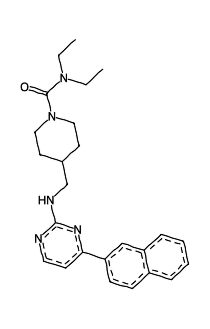 CCN(CC)C(=O)N1CCC(CNc2nccc(-c3ccc4ccccc4c3)n2)CC1